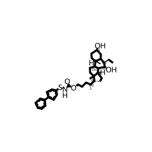 CC[C@@H]1C2C[C@H](O)CC[C@@]2(C)[C@H]2CCC3(C)[C@@H]([C@H](C)CCCOC(=O)NSc4ccc(-c5ccccc5)cc4)CC[C@H]3C2[C@@H]1O